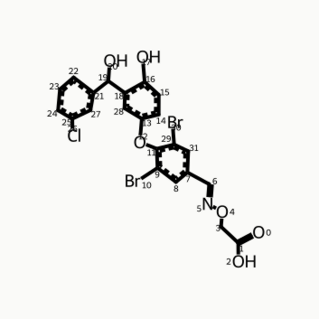 O=C(O)CON=Cc1cc(Br)c(Oc2ccc(O)c(C(O)c3cccc(Cl)c3)c2)c(Br)c1